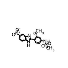 COc1cc(NS(C)(=O)=O)ccc1-c1nc2cc([N+](=O)[O-])ccc2[nH]1